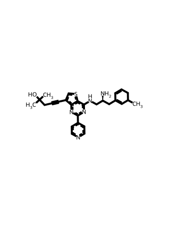 CC1C=C(C[C@H](N)CNc2nc(-c3ccncc3)nc3c(C#CCC(C)(C)O)csc23)C=CC1